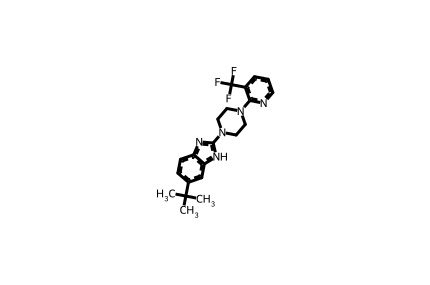 CC(C)(C)c1ccc2nc(N3CCN(c4ncccc4C(F)(F)F)CC3)[nH]c2c1